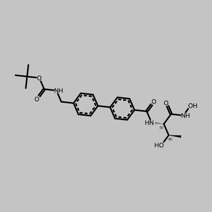 C[C@@H](O)[C@H](NC(=O)c1ccc(-c2ccc(CNC(=O)OC(C)(C)C)cc2)cc1)C(=O)NO